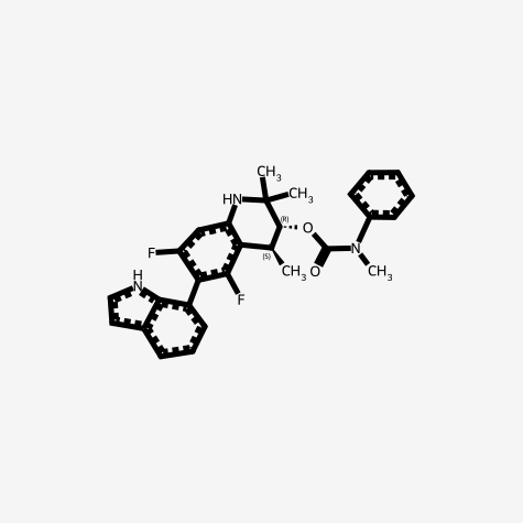 C[C@H]1c2c(cc(F)c(-c3cccc4cc[nH]c34)c2F)NC(C)(C)[C@@H]1OC(=O)N(C)c1ccccc1